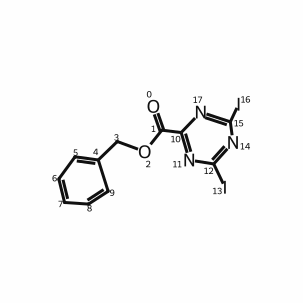 O=C(OCc1ccccc1)c1nc(I)nc(I)n1